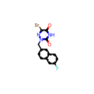 O=c1[nH]c(=O)n(Cc2ccc3cc(F)ccc3c2)nc1Br